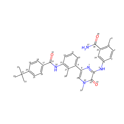 Cc1ccc(Nc2nc(-c3cccc(NC(=O)c4ccc(C(C)(C)C)cc4)c3C)cn(C)c2=O)cc1C(N)=O